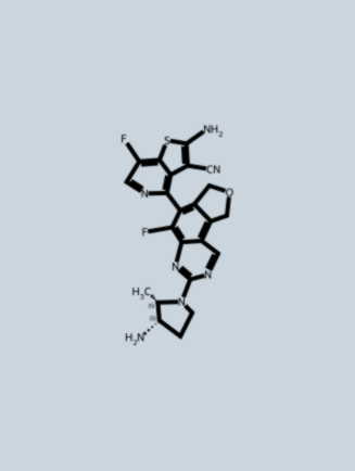 C[C@H]1[C@@H](N)CCN1c1ncc2c3c(c(-c4ncc(F)c5sc(N)c(C#N)c45)c(F)c2n1)COC3